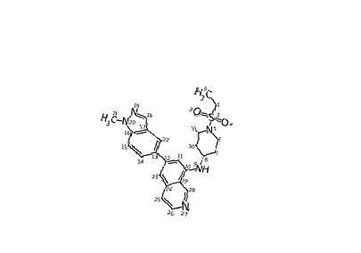 CCS(=O)(=O)N1CCC(Nc2cc(-c3ccc4c(cnn4C)c3)cc3ccncc23)CC1